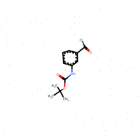 CC(C)(C)OC(=O)Nc1cccc(C(=O)Cl)c1